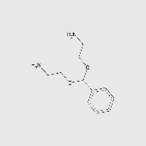 NCCOC(OCCN)c1ccccc1